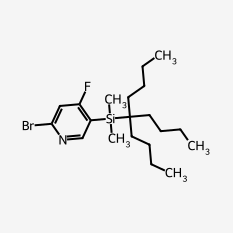 CCCCC(CCCC)(CCCC)[Si](C)(C)c1cnc(Br)cc1F